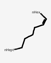 CCCCCC/C=C\CCCCCCCCCCC